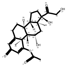 CC(=O)OC1=CC(=O)C=C2CC[C@@H]3[C@H]([C@@H](O)C[C@@]4(C)[C@H]3CC[C@]4(O)C(=O)CO)[C@]21C